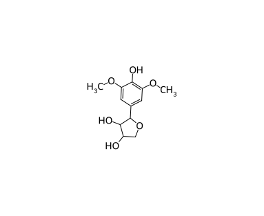 COc1cc(C2OCC(O)C2O)cc(OC)c1O